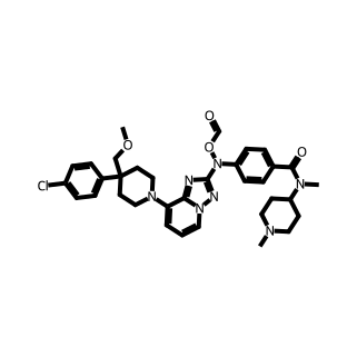 COCC1(c2ccc(Cl)cc2)CCN(c2cccn3nc(N(OC=O)c4ccc(C(=O)N(C)C5CCN(C)CC5)cc4)nc23)CC1